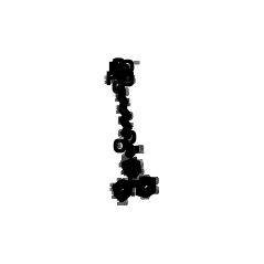 C=C(C)C(=O)OCCCCCCCCOC(=O)C(F)(F)S(=O)(=O)[O-].c1ccc([S+](c2ccccc2)c2ccccc2)cc1